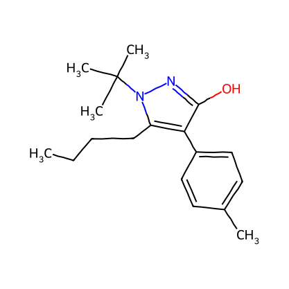 CCCCc1c(-c2ccc(C)cc2)c(O)nn1C(C)(C)C